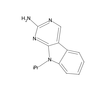 CC(C)n1c2ccccc2c2cnc(N)nc21